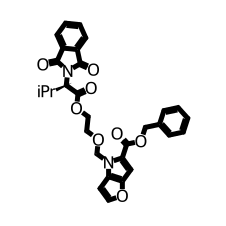 CC(C)[C@H](C(=O)OCCOCn1c(C(=O)OCc2ccccc2)cc2occc21)N1C(=O)c2ccccc2C1=O